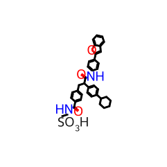 O=C(NCCS(=O)(=O)O)c1ccc(CC(C(=O)Nc2ccc(-c3cc4ccccc4o3)cc2)c2ccc(C3CCCCC3)cc2)cc1